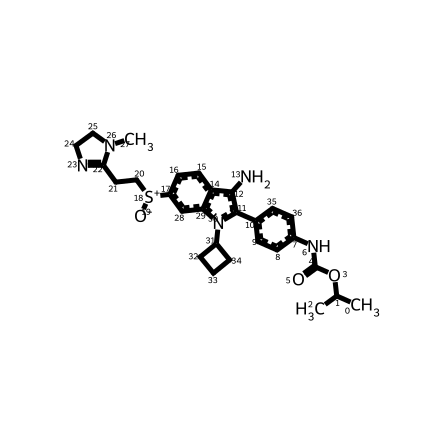 CC(C)OC(=O)Nc1ccc(-c2c(N)c3ccc([S+]([O-])CCC4=NCCN4C)cc3n2C2CCC2)cc1